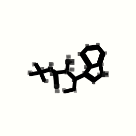 CCC(c1c[nH]c2ccccc12)N(O)C(=O)OC(C)(C)C